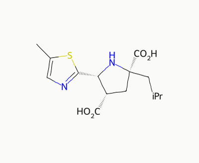 Cc1cnc([C@@H]2N[C@](CC(C)C)(C(=O)O)C[C@@H]2C(=O)O)s1